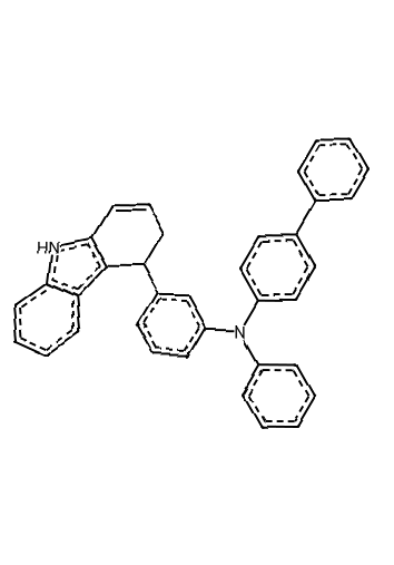 C1=Cc2[nH]c3ccccc3c2C(c2cccc(N(c3ccccc3)c3ccc(-c4ccccc4)cc3)c2)C1